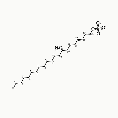 CCCCCCCCCCCCCCCCC/C=C/C=C/OS(=O)(=O)[O-].[Na+]